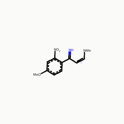 CN/C=C\C(=N)c1ccc(OC)cc1[N+](=O)[O-]